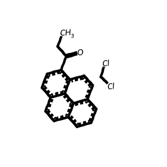 CCC(=O)c1ccc2ccc3cccc4ccc1c2c34.ClCCl